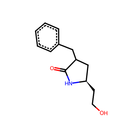 O=C1N[C@H](CCO)CC1Cc1ccccc1